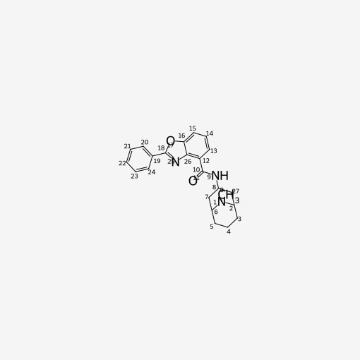 CN1C2CCCC1CC(NC(=O)c1cccc3oc(-c4ccccc4)nc13)C2